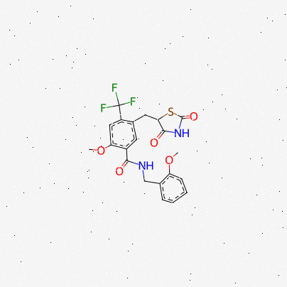 COc1ccccc1CNC(=O)c1cc(CC2SC(=O)NC2=O)c(C(F)(F)F)cc1OC